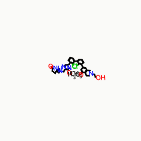 COc1cc(-c2cccc(-c3cccc(-c4cnc(CN5CC6(CCC(=O)N6)C5)c(OC)n4)c3Cl)c2Cl)cc2c1CCN(CCO)C2